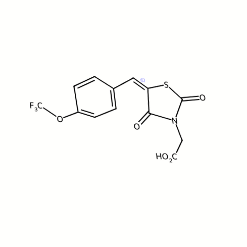 O=C(O)CN1C(=O)S/C(=C/c2ccc(OC(F)(F)F)cc2)C1=O